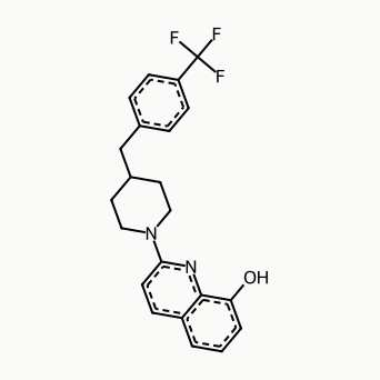 Oc1cccc2ccc(N3CCC(Cc4ccc(C(F)(F)F)cc4)CC3)nc12